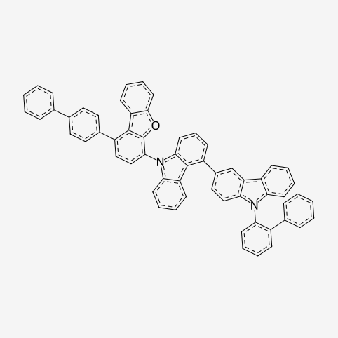 c1ccc(-c2ccc(-c3ccc(-n4c5ccccc5c5c(-c6ccc7c(c6)c6ccccc6n7-c6ccccc6-c6ccccc6)cccc54)c4oc5ccccc5c34)cc2)cc1